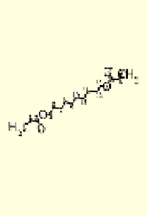 C=CC(=O)OCCCCCCCCCCOC(=O)C=C